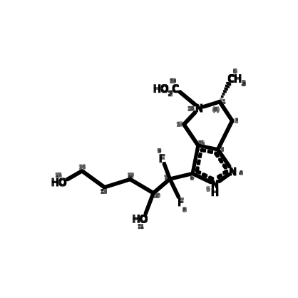 C[C@@H]1Cc2n[nH]c(C(F)(F)C(O)CCCO)c2CN1C(=O)O